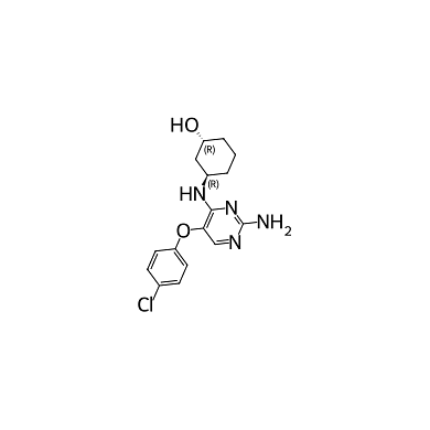 Nc1ncc(Oc2ccc(Cl)cc2)c(N[C@@H]2CCC[C@@H](O)C2)n1